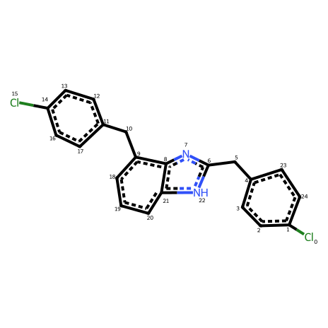 Clc1ccc(Cc2nc3c(Cc4ccc(Cl)cc4)cccc3[nH]2)cc1